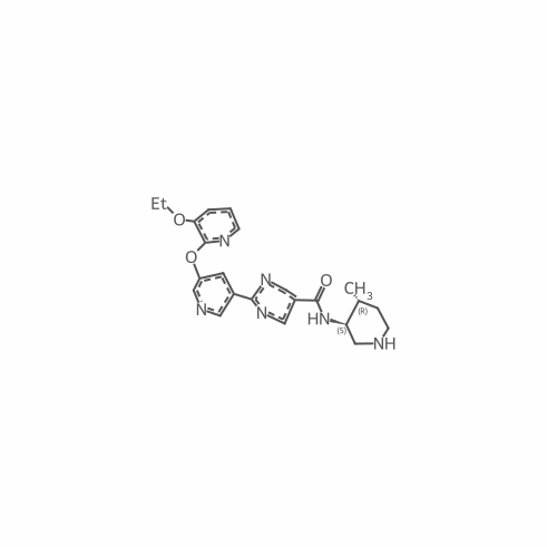 CCOc1cccnc1Oc1cncc(-c2ncc(C(=O)N[C@@H]3CNCC[C@H]3C)cn2)c1